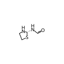 O=CN[C@H]1NCCS1